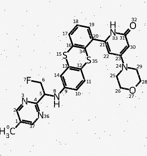 Cc1cnc(C(CF)Nc2ccc3c(c2)Sc2cccc(-c4cc(N5CCOCC5)cc(=O)[nH]4)c2S3)nc1